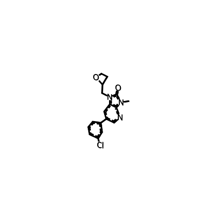 Cn1c(=O)n(CC2CCO2)c2cc(-c3cccc(Cl)c3)cnc21